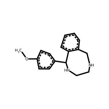 COc1ccc(C2NCCNCc3ccccc32)cc1